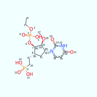 CCOP(=O)(O)O[C@@H]1[C@@H](CCP(=O)(O)O)C[C@@H](n2ccc(=O)[nH]c2=O)[C@@H]1OC